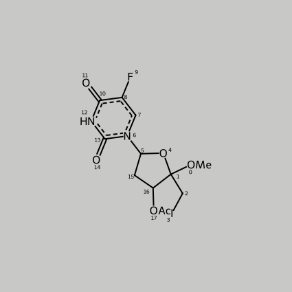 COC1(CI)OC(n2cc(F)c(=O)[nH]c2=O)CC1OC(C)=O